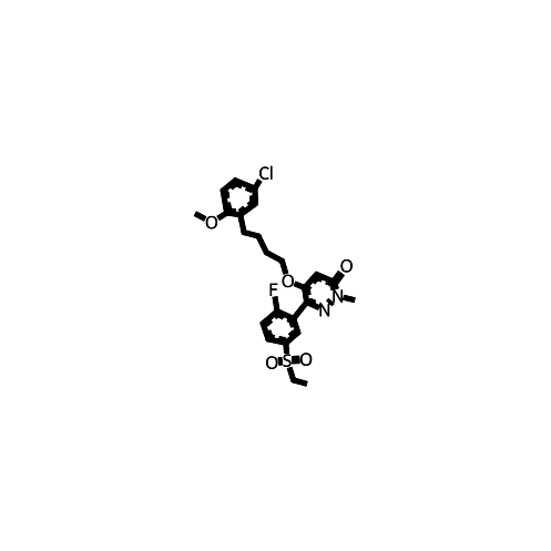 CCS(=O)(=O)c1ccc(F)c(-c2nn(C)c(=O)cc2OCCCCc2cc(Cl)ccc2OC)c1